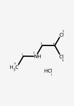 CCNCC(Cl)Cl.Cl